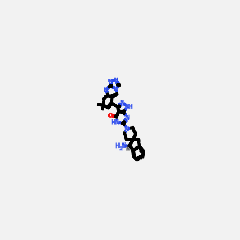 CC1(C)C=C(c2n[nH]c3nc(N4CCC5(CC4)Cc4ccccc4[C@H]5N)[nH]c(=O)c23)c2cn3cnnc3nc2C1